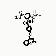 Cc1cc(COc2ccc(C(=O)N[C@@H]3CN(C(=O)C(C)(C)C)CC[C@@H]3C(=O)NO)cc2)c2ccccc2n1